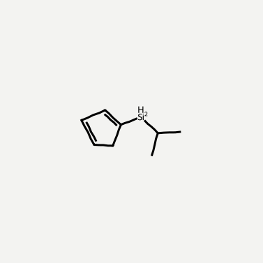 CC(C)[SiH2]C1=CC=CC1